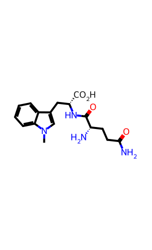 Cn1cc(C[C@@H](NC(=O)[C@@H](N)CCC(N)=O)C(=O)O)c2ccccc21